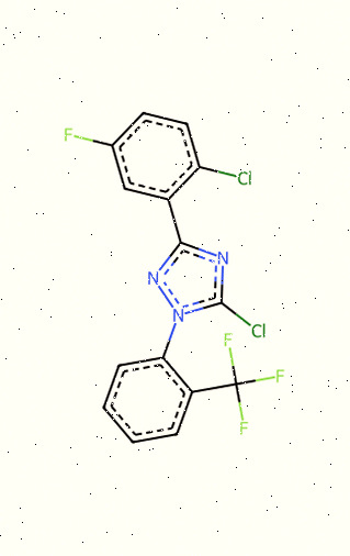 Fc1ccc(Cl)c(-c2nc(Cl)n(-c3ccccc3C(F)(F)F)n2)c1